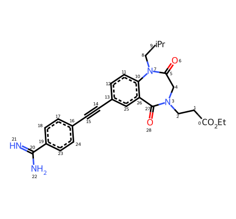 CCOC(=O)CCN1CC(=O)N(CC(C)C)c2ccc(C#Cc3ccc(C(=N)N)cc3)cc2C1=O